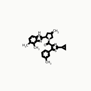 C=C1CC(c2nc3c(C)c(C)ccc3[nH]2)N(C(=O)c2nc(C3CC3)sc2-c2cccc(C)c2)C1